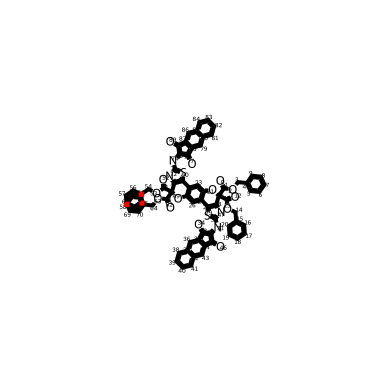 O=C(OCc1ccccc1)C1(C(=O)OCc2ccccc2)Oc2cc3c(cc2-c2sc(N=c4c(=O)c5cc6ccccc6cc5c4=O)nc21)OC(C(=O)OCc1ccccc1)(C(=O)OCc1ccccc1)c1nc(N=c2c(=O)c4cc5ccccc5cc4c2=O)sc1-3